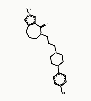 Cn1cc2c(c1)C(=O)N(CCCN1CCN(c3ccc(O)cc3)CC1)CCC2